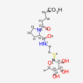 CC1O[C@@H](SCCNC(=O)C2CCCN2C(=O)CCCC(=O)O)C(O)C(O)[C@@H]1O